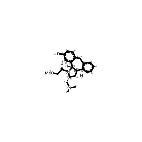 COCC(=O)N1[C@@H](CN(C)C)C[C@@H]2c3ccccc3Cc3ccc(F)cc3[C@H]21